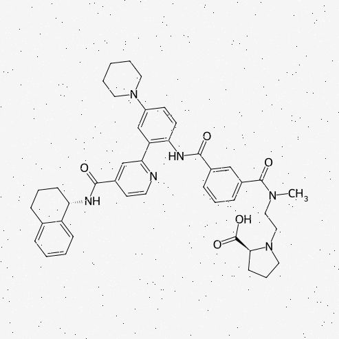 CN(CCN1CCC[C@H]1C(=O)O)C(=O)c1cccc(C(=O)Nc2ccc(N3CCCCC3)cc2-c2cc(C(=O)N[C@H]3CCCc4ccccc43)ccn2)c1